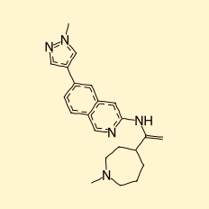 C=C(Nc1cc2cc(-c3cnn(C)c3)ccc2cn1)C1CCCN(C)CC1